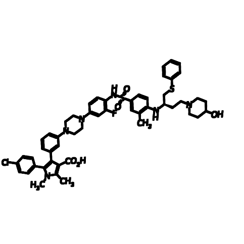 Cc1cc(S(=O)(=O)Nc2ccc(N3CCN(c4cccc(-c5c(C(=O)O)c(C)n(C)c5-c5ccc(Cl)cc5)c4)CC3)cc2F)ccc1N[C@H](CCN1CCC(O)CC1)CSc1ccccc1